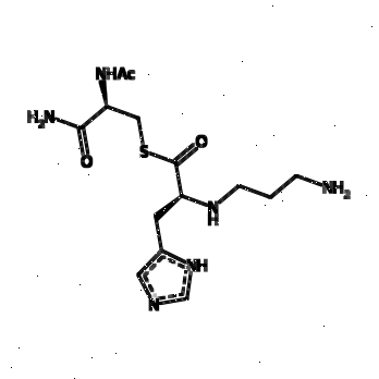 CC(=O)N[C@@H](CSC(=O)[C@H](Cc1cnc[nH]1)NCCCN)C(N)=O